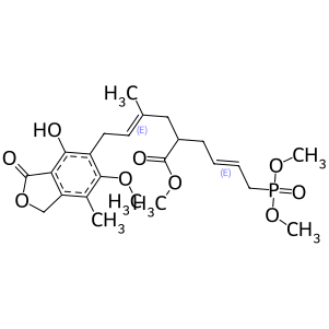 COC(=O)C(C/C=C/CP(=O)(OC)OC)C/C(C)=C/Cc1c(O)c2c(c(C)c1OC)COC2=O